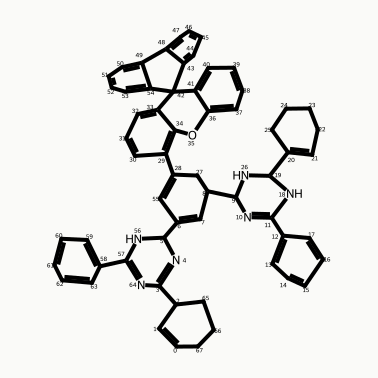 C1=CC(C2=NC(C3=CC(C4N=C(c5ccccc5)NC(C5=CCCCC5)N4)CC(c4cccc5c4Oc4ccccc4C54c5ccccc5-c5ccccc54)=C3)NC(c3ccccc3)=N2)CCC1